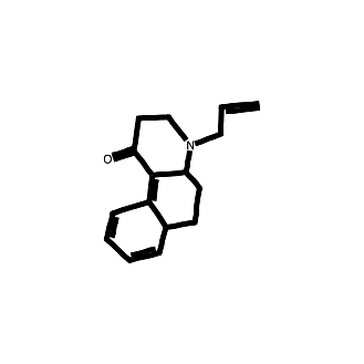 C=CCN1CCC(=O)C2=C3C=CC=CC3CCC21